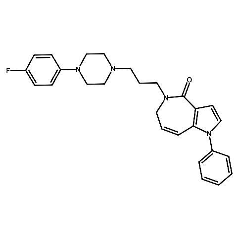 O=C1c2ccn(-c3ccccc3)c2C=CCN1CCCN1CCN(c2ccc(F)cc2)CC1